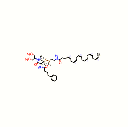 CC/C=C\C/C=C\C/C=C\C/C=C\C/C=C\C/C=C\CCC(=O)NCCSSC(C)(C)[C@H](NC(=O)CCCc1ccccc1)C(=O)NC(CO)CO